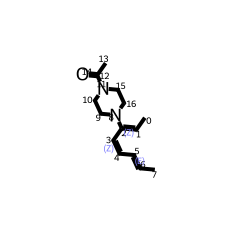 C/C=C(/C=C\C=C\C)N1CCN(C(C)=O)CC1